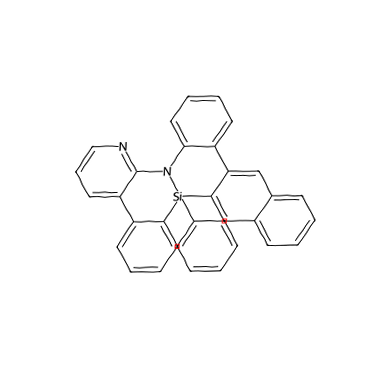 c1ccc([Si]23c4cc5ccccc5cc4-c4ccccc4N2c2ncccc2-c2ccccc23)cc1